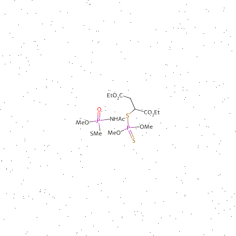 CCOC(=O)CC(SP(=S)(OC)OC)C(=O)OCC.COP(=O)(NC(C)=O)SC